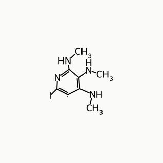 CNc1[c]c(I)nc(NC)c1NC